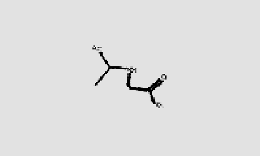 CC(=O)C(C)NCC(=O)C(C)C